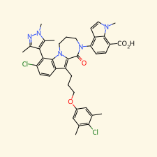 Cc1cc(OCCCc2c3n(c4c(-c5c(C)nn(C)c5C)c(Cl)ccc24)CCCN(c2ccc(C(=O)O)c4c2ccn4C)C3=O)cc(C)c1Cl